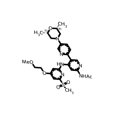 COCCOc1cc(Nc2cc(NC(C)=O)ncc2-c2ccc(N3C[C@@H](C)O[C@@H](C)C3)cn2)nc(S(C)(=O)=O)c1